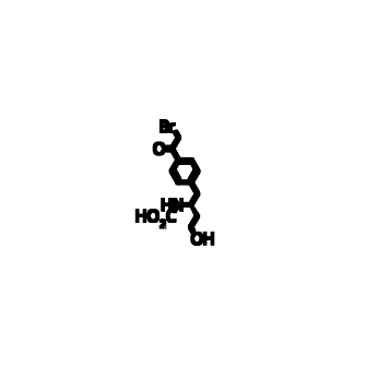 O=C(O)N[C@H](CCO)Cc1ccc(C(=O)CBr)cc1